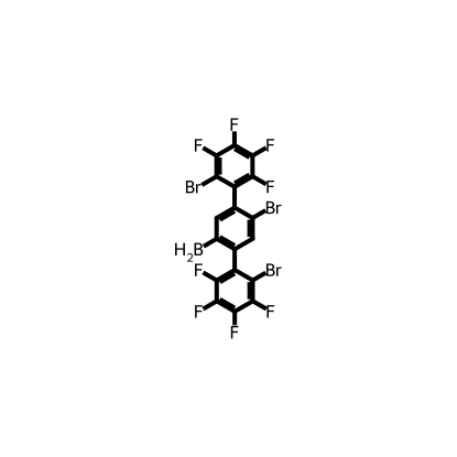 Bc1cc(-c2c(F)c(F)c(F)c(F)c2Br)c(Br)cc1-c1c(F)c(F)c(F)c(F)c1Br